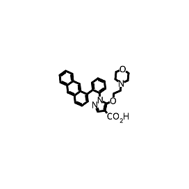 O=C(O)c1cnn(-c2ccccc2-c2cccc3cc4ccccc4cc23)c1OCCN1CCOCC1